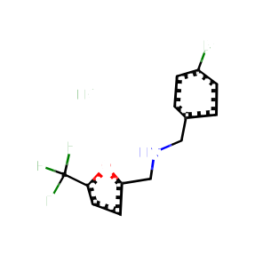 Cl.FC(F)(F)c1ccc(CNCc2ccc(Br)cc2)o1